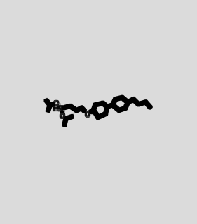 CCCCC1CCC(C2CCC(OCCC[SiH](OC(C)C)OC(C)C)CC2)CC1